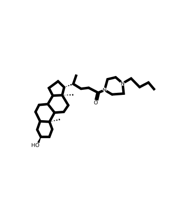 CCCCN1CCN(C(=O)CCC(C)[C@H]2CCC3C4CCC5C[C@H](O)CC[C@]5(C)C4CC[C@@]32C)CC1